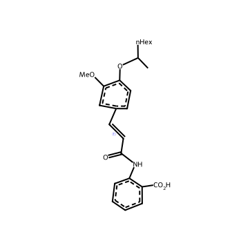 CCCCCCC(C)Oc1ccc(/C=C/C(=O)Nc2ccccc2C(=O)O)cc1OC